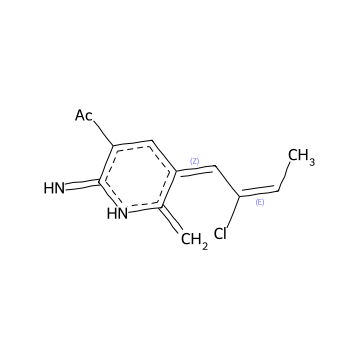 C=c1[nH]c(=N)c(C(C)=O)c/c1=C/C(Cl)=C\C